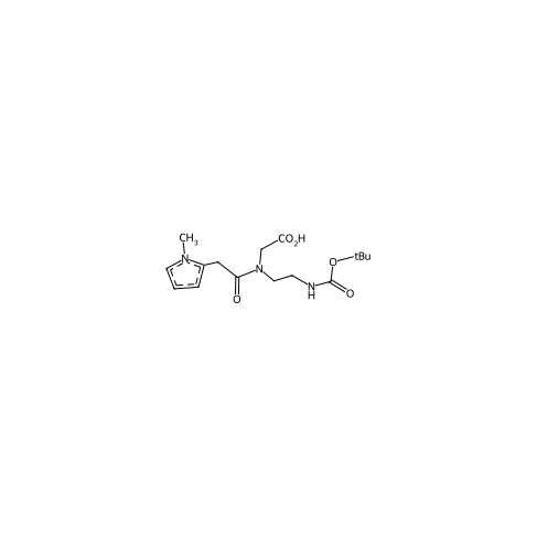 Cn1cccc1CC(=O)N(CCNC(=O)OC(C)(C)C)CC(=O)O